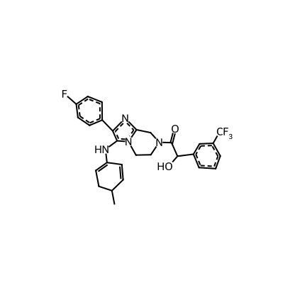 CC1C=CC(Nc2c(-c3ccc(F)cc3)nc3n2CCN(C(=O)C(O)c2cccc(C(F)(F)F)c2)C3)=CC1